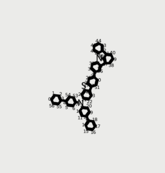 c1ccc(-c2ccc(N(c3ccc(-c4ccccc4)cc3)c3ccc4c(c3)sc3cc(-c5ccc6c(c5)c5cccc7c8ccccc8n6c75)ccc34)cc2)cc1